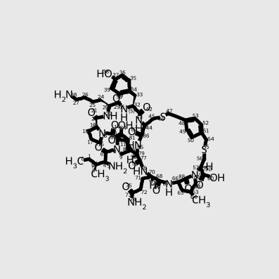 CC[C@H](C)C(N)C(=O)N1CCC[C@H]1C(=O)N1CCC[C@H]1C(=O)N[C@@H](CCCCN)C(=O)N[C@@H](Cc1ccc(O)cc1)C(=O)NC1CSCc2ccc(cc2)CSC[C@@H](C(=O)O)N2CC(C)CC(NC(=O)[C@H](CCC(N)=O)NC(=O)[C@H](CCC(=O)O)NC1=O)C2=O